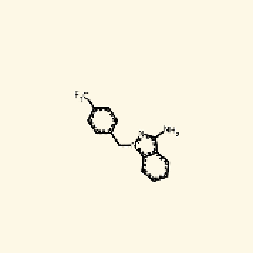 Nc1nn(Cc2ccc(C(F)(F)F)cc2)c2ccccc12